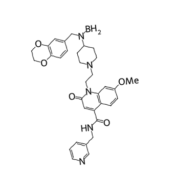 BN(Cc1ccc2c(c1)OCCO2)C1CCN(CCn2c(=O)cc(C(=O)NCc3cccnc3)c3ccc(OC)cc32)CC1